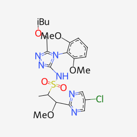 CCC(C)OCc1nnc(NS(=O)(=O)C(C)C(OC)c2ncc(Cl)cn2)n1-c1c(OC)cccc1OC